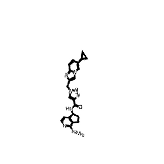 CNc1nccc2c1CCC2NC(=O)c1cn(Cc2cn3cc(C4CC4)ccc3n2)nn1